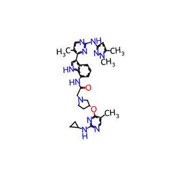 Cc1cnc(NC2CC2)nc1O[C@H]1CCN(CC(=O)Nc2cccc3c(-c4nc(Nc5cc(C)n(C)n5)ncc4C)c[nH]c23)C1